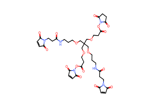 O=C(CCN1C(=O)C=CC1=O)NCCCOCC(COCCCNC(=O)CCN1C(=O)C=CC1=O)(COCCC(=O)ON1C(=O)C=CC1=O)COCCC(=O)ON1C(=O)CCC1=O